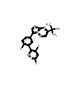 CC(C)(O)c1cnn2c(-c3ccc(F)c(-c4ncc(F)cc4F)c3)cnc2n1